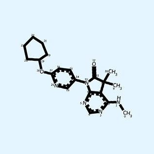 CNc1ncnc2c1C(C)(C)C(=O)N2c1ccc(OC2CCCCC2)nc1